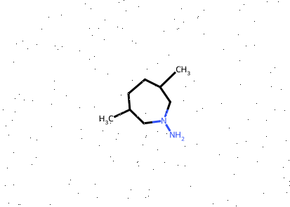 CC1CCC(C)CN(N)C1